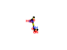 CC(C)(C)SCC(CC(=O)O)C(=O)NCCSSCCNC(=O)C(CSC(C)(C)C)CC(=O)O